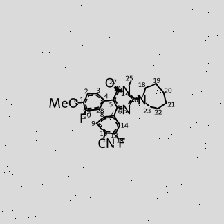 COc1ccc(-c2c(-c3ccc(C#N)c(F)c3)nc(N3CCCCCC3)n(C)c2=O)cc1F